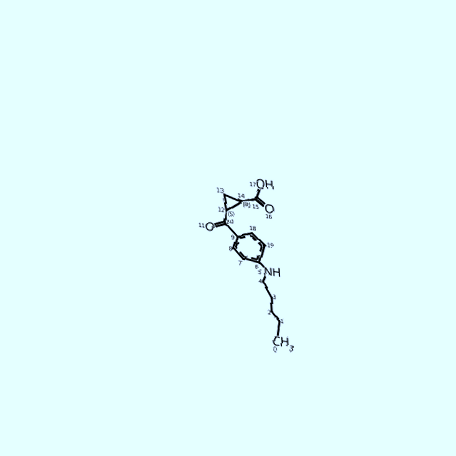 CCCCCNc1ccc(C(=O)[C@H]2C[C@H]2C(=O)O)cc1